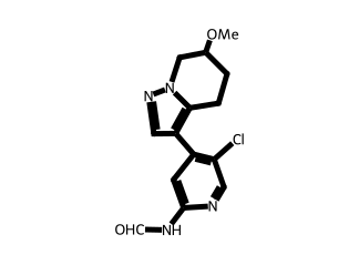 COC1CCc2c(-c3cc(NC=O)ncc3Cl)cnn2C1